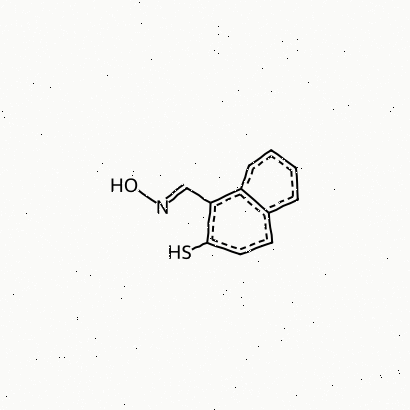 ON=Cc1c(S)ccc2ccccc12